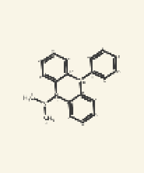 CN(C)N1c2ccccc2N(c2ccccc2)c2ccccc21